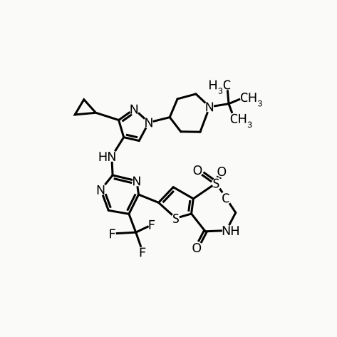 CC(C)(C)N1CCC(n2cc(Nc3ncc(C(F)(F)F)c(-c4cc5c(s4)C(=O)NCCS5(=O)=O)n3)c(C3CC3)n2)CC1